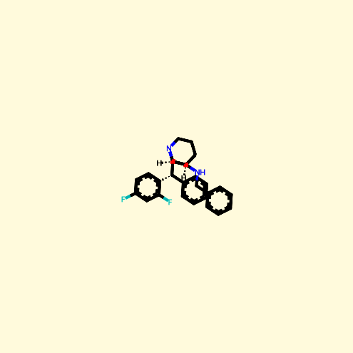 Fc1ccc([C@@H](c2ccccc2)[C@@H]2[C@H](NCc3ccccc3)C3CCN2CC3)c(F)c1